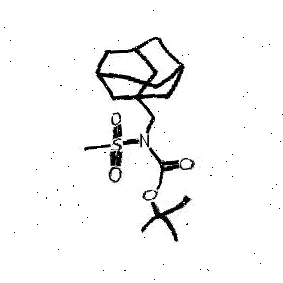 CC(C)(C)OC(=O)N(CC12CC3CC(CC(C3)C1)C2)S(C)(=O)=O